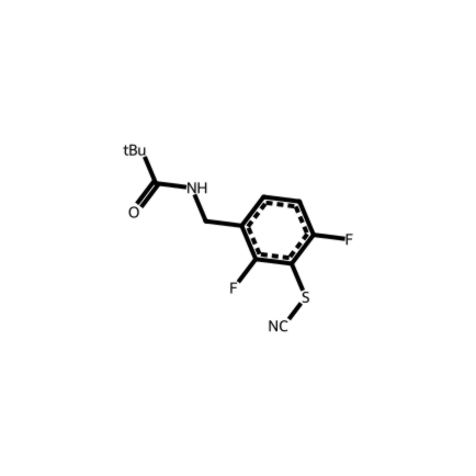 CC(C)(C)C(=O)NCc1ccc(F)c(SC#N)c1F